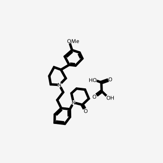 COc1cccc(C2CCCN(CCc3ccccc3N3CCCCC3=O)C2)c1.O=C(O)C(=O)O